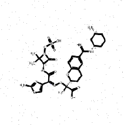 CC(O/N=C(\C(=O)N[C@@H]1C(=O)N(OS(=O)(=O)O)C1(C)C)c1csc(N)n1)(C(=O)O)[C@H]1CCc2cc(C(=N)N[C@H]3CCC[C@@H](N)C3)ccc2O1